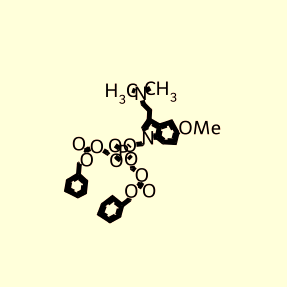 COc1ccc2c(c1)c(CCN(C)C)cn2COP(=O)(OCOC(=O)OCc1ccccc1)OCOC(=O)OCc1ccccc1